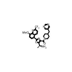 COc1ccc(-c2nc(C(=O)N3CCC(Cc4cncnc4)CC3)c([C@H](C)N)o2)c2ccc(C(F)(F)F)nc12